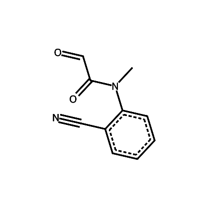 CN(C(=O)C=O)c1ccccc1C#N